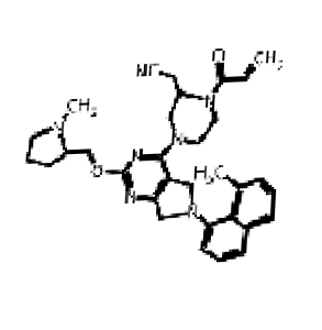 C=CC(=O)N1CCN(c2nc(OCC3CCCN3C)nc3c2CN(c2cccc4cccc(C)c24)C3)CC1CC#N